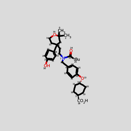 CC1(C)CC(CCN(Cc2ccc(O[C@H]3CC[C@H](C(=O)O)CC3)cc2)C(=O)C(C)(C)C)(c2ccc(O)cc2)CCO1